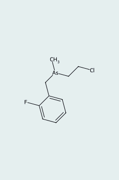 C[As](CCCl)Cc1ccccc1F